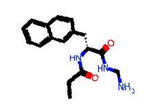 CCC(=O)N[C@H](Cc1ccc2ccccc2c1)C(=O)NCN